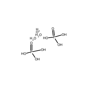 O.O.O.O=P(O)(O)O.O=P(O)(O)O